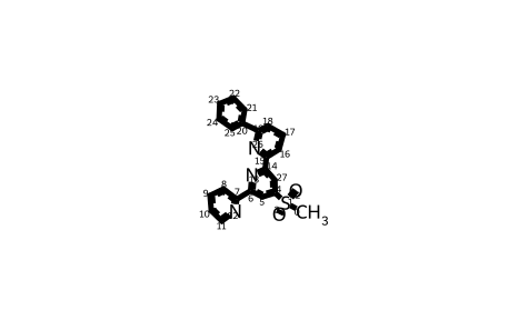 CS(=O)(=O)c1cc(-c2ccccn2)nc(-c2cccc(-c3ccccc3)n2)c1